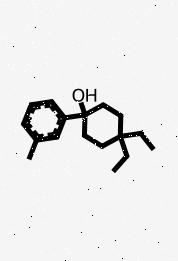 CCC1(CC)CCC(O)(c2cccc(C)c2)CC1